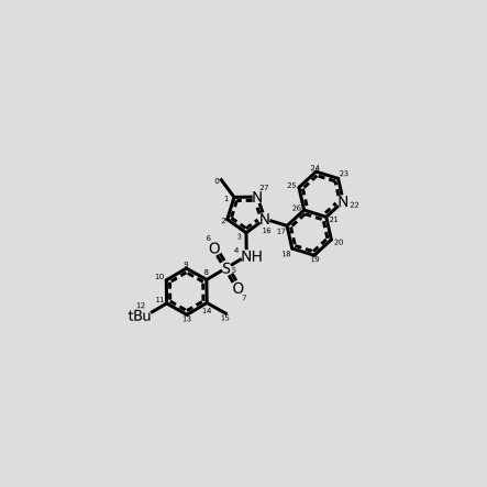 Cc1cc(NS(=O)(=O)c2ccc(C(C)(C)C)cc2C)n(-c2cccc3ncccc23)n1